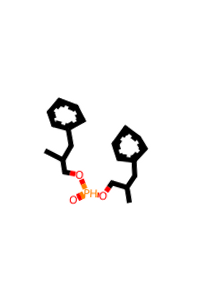 CC(CO[PH](=O)OCC(C)Cc1ccccc1)Cc1ccccc1